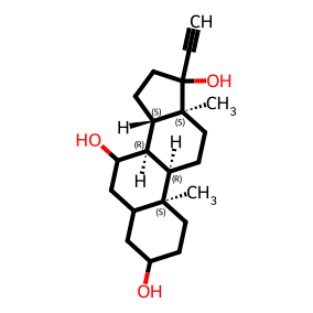 C#CC1(O)CC[C@H]2[C@@H]3C(O)CC4CC(O)CC[C@]4(C)[C@@H]3CC[C@@]21C